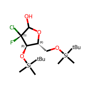 CC(C)(C)[Si](C)(C)OC[C@H]1OC(O)[C@@](F)(Cl)[C@@H]1O[Si](C)(C)C(C)(C)C